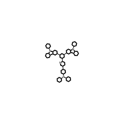 c1ccc(N(c2ccccc2)c2ccc(-c3ccc(-c4cc(-c5ccc6c(c5)c5ccccc5n6-c5ccccc5)cc(-c5ccc6c(c5)c5ccccc5n6-c5ccccc5)c4)nc3)cc2)cc1